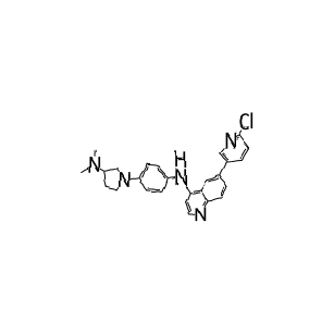 CN(C)C1CCN(c2ccc(Nc3ccnc4ccc(-c5ccc(Cl)nc5)cc34)cc2)C1